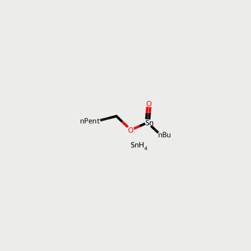 CCCCCC[O][Sn](=[O])[CH2]CCC.[SnH4]